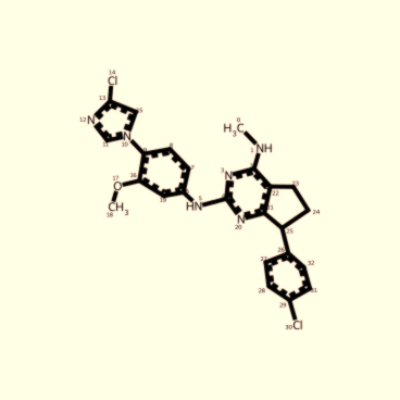 CNc1nc(Nc2ccc(-n3cnc(Cl)c3)c(OC)c2)nc2c1CCC2c1ccc(Cl)cc1